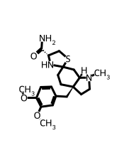 COc1ccc(C[C@]23CCN(C)[C@H]2CC2(CC3)N[C@H](C(N)=O)CS2)cc1OC